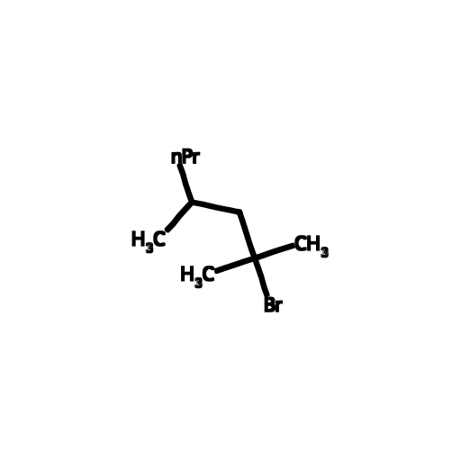 CCCC(C)CC(C)(C)Br